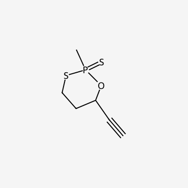 C#CC1CCSP(C)(=S)O1